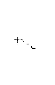 C/C=N/OCC(F)(F)F